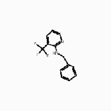 FC(F)(F)c1cccnc1NCc1ccccc1